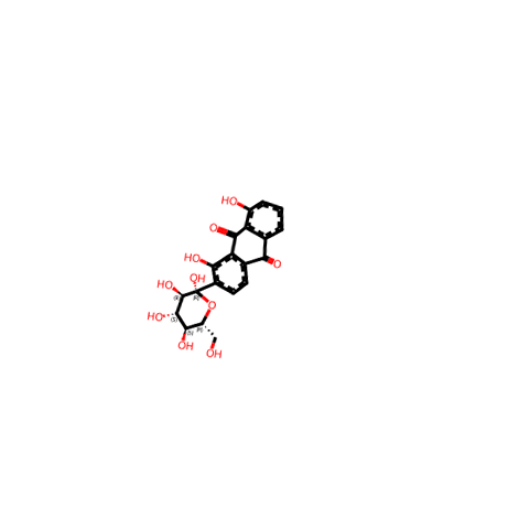 O=C1c2cccc(O)c2C(=O)c2c1ccc([C@@]1(O)O[C@H](CO)[C@@H](O)[C@H](O)[C@H]1O)c2O